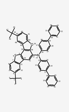 CC(C)(C)c1ccc2sc3c(cc(N(c4ccc(-c5ccccc5)cc4)c4ccc(-c5ccccc5)cc4)c4oc5ccc(C(C)(C)C)cc5c43)c2c1